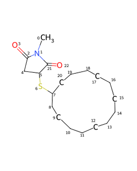 CN1C(=O)CC(SC2CCCCCCCCCCCCC2)C1=O